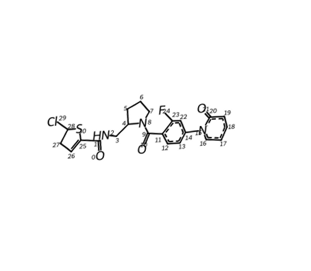 O=C(NCC1CCCN1C(=O)c1ccc(-n2ccccc2=O)cc1F)C1=CCC(Cl)S1